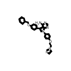 Nc1ncnc2c1c(-c1ccc(OCc3ccccc3)cc1)cn2-c1ccc(OCCn2ccnc2)cc1